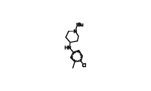 Cc1cc(NC2CCN(C(C)(C)C)CC2)ccc1Cl